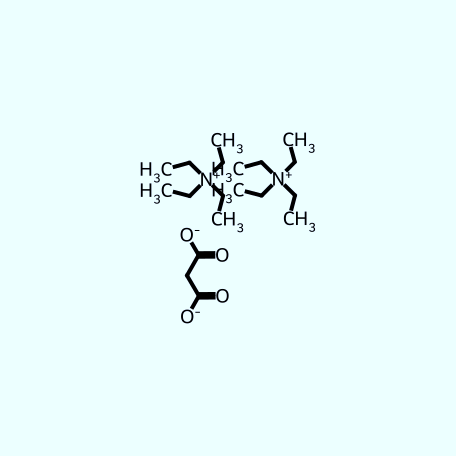 CC[N+](CC)(CC)CC.CC[N+](CC)(CC)CC.O=C([O-])CC(=O)[O-]